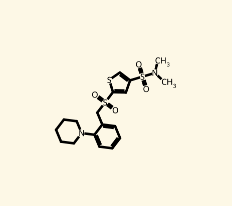 CN(C)S(=O)(=O)c1csc(S(=O)(=O)Cc2ccccc2N2CCCCC2)c1